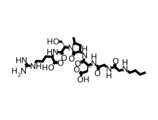 CCCCNCC(=O)NCC(=O)N[C@@H](CC(=O)O)C(=O)NC1CC(C)N([C@@H](CO)C(=O)NC(CCCNC(=N)N)C(=O)O)C1=O